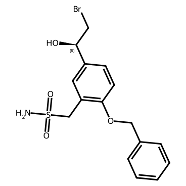 NS(=O)(=O)Cc1cc([C@@H](O)CBr)ccc1OCc1ccccc1